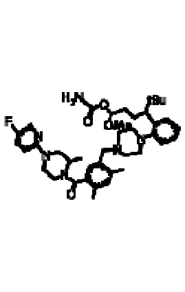 COC(CCC(c1ccccc1N1CCN(Cc2cc(C(=O)N3CCN(c4ccc(F)cn4)CC3C)c(C)cc2C)CC1)C(C)(C)C)OC(N)=O